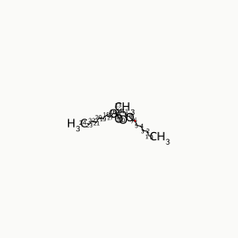 CCCCCCCCOC(=O)CC(C)C(=O)OCCCCCCCC